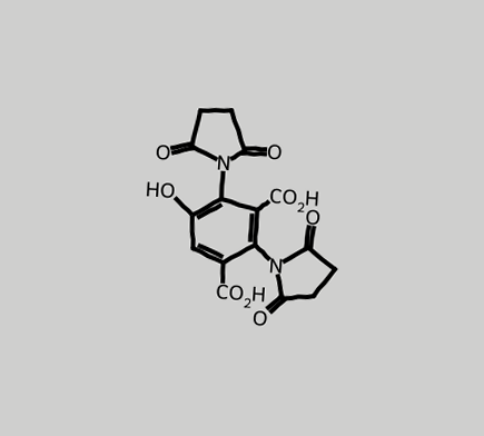 O=C(O)c1cc(O)c(N2C(=O)CCC2=O)c(C(=O)O)c1N1C(=O)CCC1=O